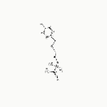 Cc1ccc(CSCCCC(Cl)(Br)C(=O)O)cc1